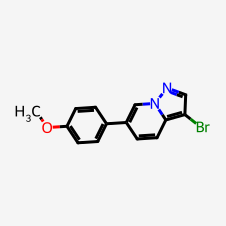 COc1ccc(-c2ccc3c(Br)cnn3c2)cc1